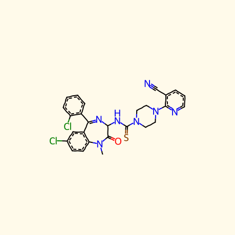 CN1C(=O)C(NC(=S)N2CCN(c3ncccc3C#N)CC2)N=C(c2ccccc2Cl)c2cc(Cl)ccc21